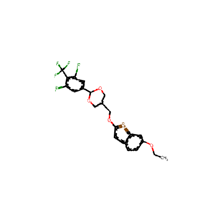 CCOc1ccc2cc(OCC3COC(c4cc(F)c(C(F)(F)F)c(F)c4)OC3)sc2c1